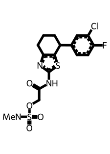 CNS(=O)(=O)OCC(=O)Nc1nc2c(s1)C(c1ccc(F)c(Cl)c1)CCC2